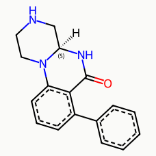 O=C1N[C@@H]2CNCCN2c2cccc(-c3ccccc3)c21